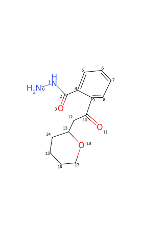 NNC(=O)c1ccccc1C(=O)CC1CCCCO1